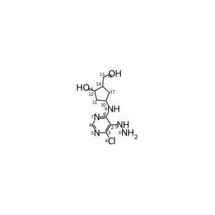 NNc1c(Cl)ncnc1NC1CC(O)C(CO)C1